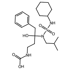 CC(C)CN(C(O)(CCNC(=O)O)Cc1ccccc1)S(=O)(=O)NC1CCCCC1